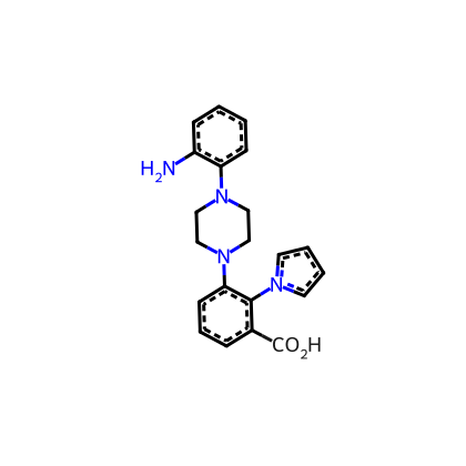 Nc1ccccc1N1CCN(c2cccc(C(=O)O)c2-n2cccc2)CC1